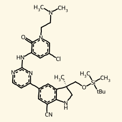 CN(C)CCn1cc(Cl)cc(Nc2nccc(-c3cc(C#N)c4c(c3)[C@@](C)(CO[Si](C)(C)C(C)(C)C)CN4)n2)c1=O